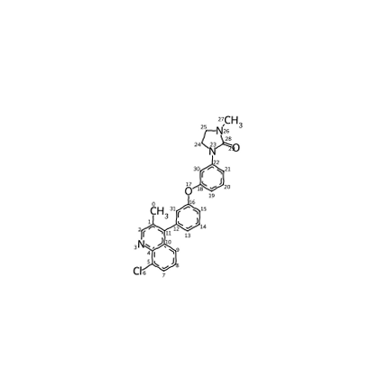 Cc1cnc2c(Cl)cccc2c1-c1cccc(Oc2cccc(N3CCN(C)C3=O)c2)c1